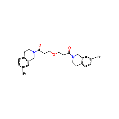 CC(C)c1ccc2c(c1)CN(C(=O)CCOCCC(=O)N1CCc3ccc(C(C)C)cc3C1)CC2